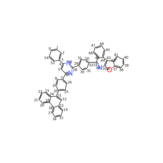 c1ccc(-c2cc(-c3ccc(-c4cc5ccccc5c5ccccc45)cc3)nc(-c3ccc(-c4nc5oc6ccccc6c5c5ccccc45)cc3)n2)cc1